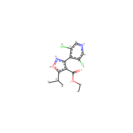 CCOC(=O)c1c(-c2c(Cl)cncc2Cl)noc1C(C)C